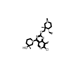 CN1CC[C@H](CF)[C@](C)(COc2nc(N3CCC[C@@](C)(O)C3)c3cnc(Cl)c(F)c3n2)C1